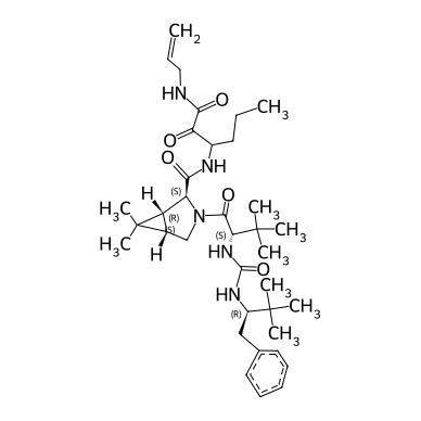 C=CCNC(=O)C(=O)C(CCC)NC(=O)[C@@H]1[C@@H]2[C@H](CN1C(=O)[C@@H](NC(=O)N[C@H](Cc1ccccc1)C(C)(C)C)C(C)(C)C)C2(C)C